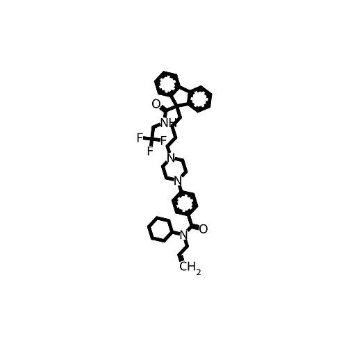 C=CCN(C(=O)c1ccc(N2CCN(CCCCC3(C(=O)NCC(F)(F)F)c4ccccc4-c4ccccc43)CC2)cc1)C1CCCCC1